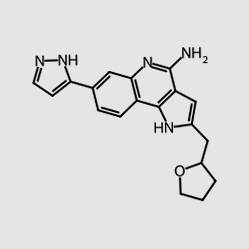 Nc1nc2cc(-c3ccn[nH]3)ccc2c2[nH]c(CC3CCCO3)cc12